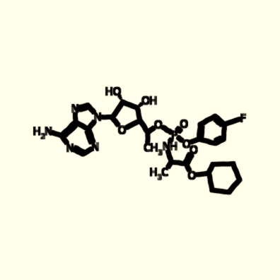 CC(NP(=O)(Oc1ccc(F)cc1)OC(C)C1OC(n2cnc3c(N)ncnc32)[C@H](O)[C@@H]1O)C(=O)OC1CCCCC1